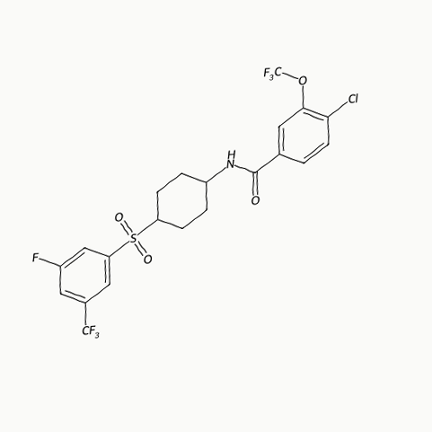 O=C(NC1CCC(S(=O)(=O)c2cc(F)cc(C(F)(F)F)c2)CC1)c1ccc(Cl)c(OC(F)(F)F)c1